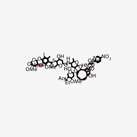 CCN(C(C)=O)C1COC(OC2C(OC3C#C/C=C\C#CC4(O)CC(=O)C(NC(=O)OC)=C3/C4=C\CSSc3ccc([N+](=O)[O-])cn3)OC(C)C(NOC3CC(O)C(SC(=O)c4c(C)c(I)c(OC5OC6OC6C(OC)C5O)c(OC)c4OC)C(C)O3)C2O)CC1OC